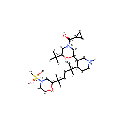 CN1CCC(C(C)(C)CCC(C)(C)C2CN(S(C)(=O)=O)CCO2)C(C2CN(C(=O)C3CC3)CC(C(C)(C)C)O2)C1